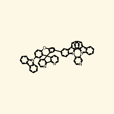 c1cnc2c(c1)C1(c3cc(-c4ccc5c(c4)c4ccccc4n5-c4ccncc4-n4c5ccccc5c5ccccc54)ccc3Oc3ccc(-n4c5ccccc5c5ccccc54)cc31)c1cccnc1-2